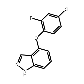 Fc1cc(Cl)ccc1Oc1cccc2[nH]ncc12